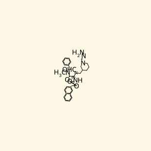 CN(Cc1ccccc1)C(=O)[C@H](NS(=O)(=O)c1ccc2ccccc2c1)[C@@H]([C]=O)CC1CCCN(C=NN)C1